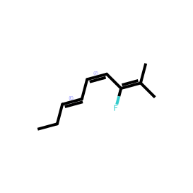 CC/C=C/C=C\C(F)=C(C)C